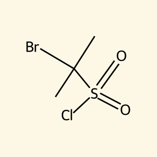 CC(C)(Br)S(=O)(=O)Cl